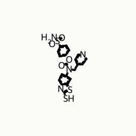 NS(=O)(=O)c1ccc(OC(=O)N(Cc2ccncc2)c2ccc3nc(S)sc3c2)cc1